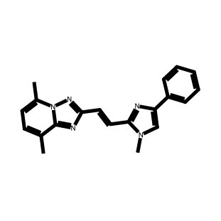 Cc1ccc(C)n2nc(/C=C/c3nc(-c4ccccc4)cn3C)nc12